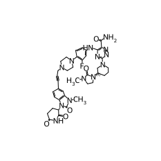 CN1CCN([C@@H]2CCCN(c3nnc(C(N)=O)c(Nc4ccc(N5CCN(CC#Cc6ccc7c(c6)n(C)c(=O)n7C6CCC(=O)NC6=O)CC5)c(F)c4)n3)C2)C1=O